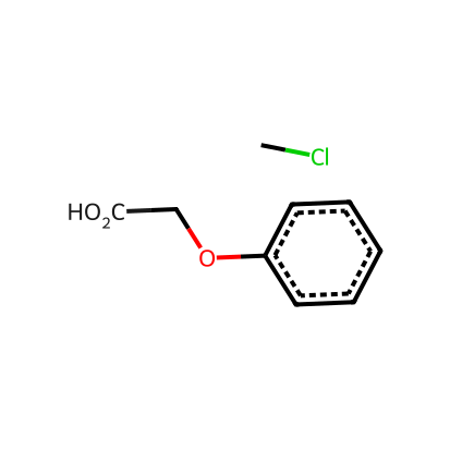 CCl.O=C(O)COc1ccccc1